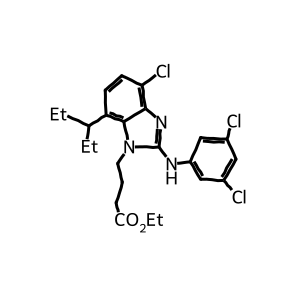 CCOC(=O)CCCn1c(Nc2cc(Cl)cc(Cl)c2)nc2c(Cl)ccc(C(CC)CC)c21